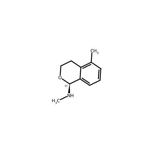 CN[C@H]1OCCc2c(C)cccc21